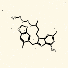 CC(CCn1c(Cc2cc3c(cc2I)OCO3)nc2c(N)nc(F)nc21)OSOON